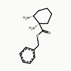 N[C@@H]1CCCC[C@@]1(N)C(=O)OCc1ccccc1